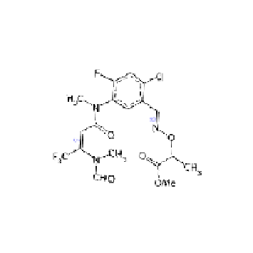 COC(=O)C(C)O/N=C/c1cc(N(C)C(=O)/C=C(\N(C)C=O)C(F)(F)F)c(F)cc1Cl